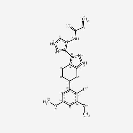 C=CC(=O)Nc1c[nH]nc1-c1n[nH]c2c1CCC(c1cc(OC)cc(OC)c1F)C2